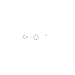 CCc1cc(C(CC)(CC)c2cccs2)ccc1OCC(=O)C(C)(C)C